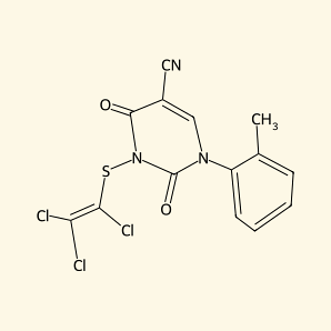 Cc1ccccc1-n1cc(C#N)c(=O)n(SC(Cl)=C(Cl)Cl)c1=O